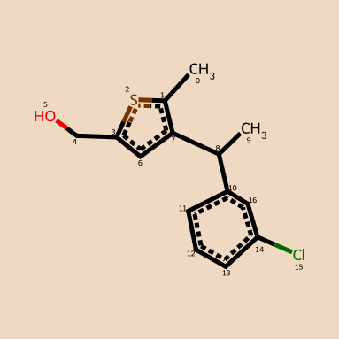 Cc1sc(CO)cc1C(C)c1cccc(Cl)c1